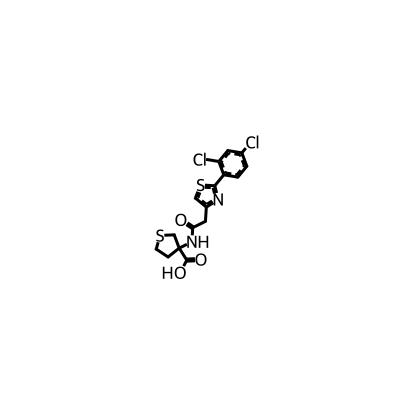 O=C(Cc1csc(-c2ccc(Cl)cc2Cl)n1)NC1(C(=O)O)CCSC1